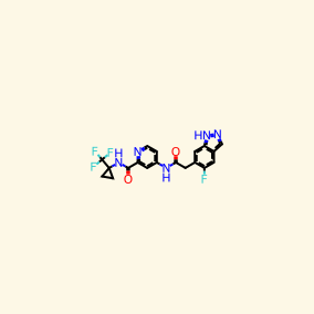 O=C(Cc1cc2[nH]ncc2cc1F)Nc1ccnc(C(=O)NC2(C(F)(F)F)CC2)c1